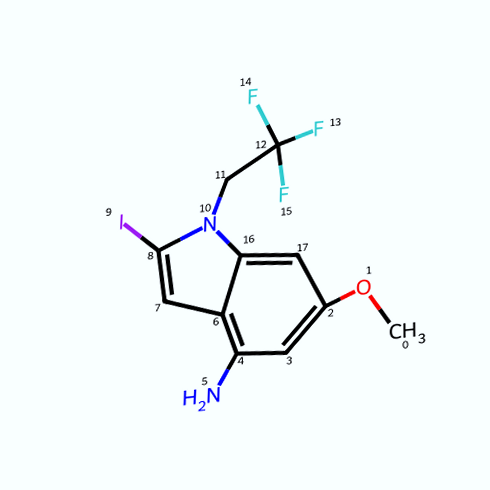 COc1cc(N)c2cc(I)n(CC(F)(F)F)c2c1